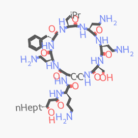 CCCCCCC[C@@H](O)CC(=O)N[C@H](CCCN)C(=O)N[C@H]1CCNC(=O)[C@H](CO)NC(=O)[C@H](CCN)NC(=O)[C@H](CCN)NC(=O)[C@H](CC(C)C)NC(=O)[C@@H](Cc2ccccc2)NC(=O)[C@H](CCN)NC1=O